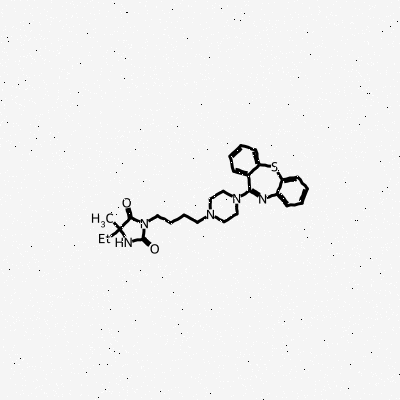 CCC1(C)NC(=O)N(CCCCN2CCN(C3=Nc4ccccc4Sc4ccccc43)CC2)C1=O